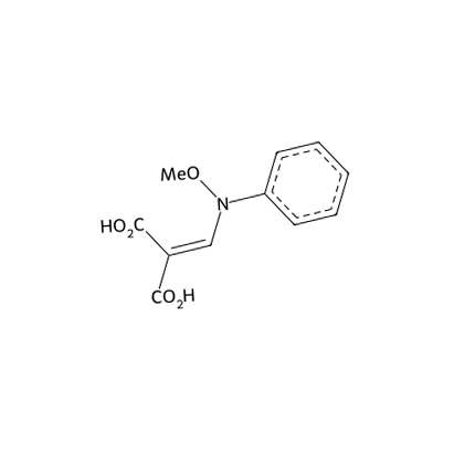 CON(C=C(C(=O)O)C(=O)O)c1ccccc1